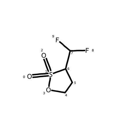 O=S1(=O)OCCC1C(F)F